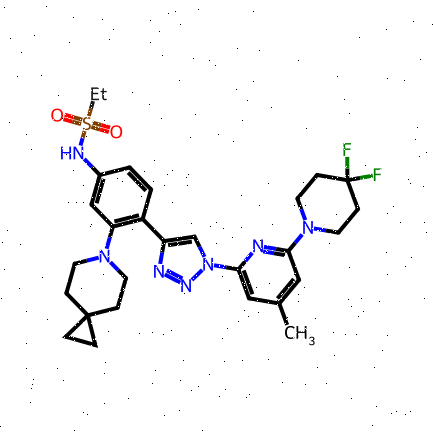 CCS(=O)(=O)Nc1ccc(-c2cn(-c3cc(C)cc(N4CCC(F)(F)CC4)n3)nn2)c(N2CCC3(CC2)CC3)c1